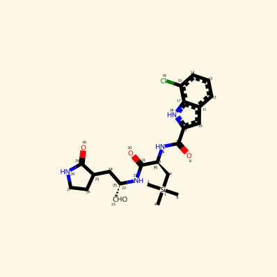 C[Si](C)(C)C[C@H](NC(=O)c1cc2cccc(Cl)c2[nH]1)C(=O)N[C@H](C=O)CC1CCNC1=O